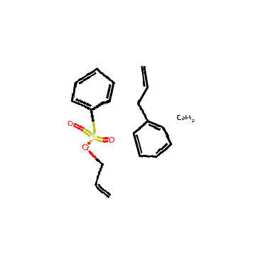 C=CCOS(=O)(=O)c1ccccc1.C=CCc1ccccc1.[CaH2]